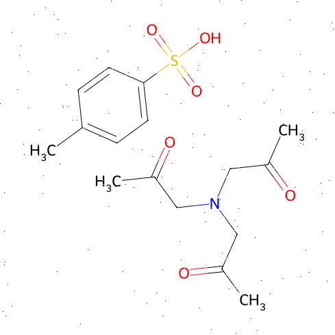 CC(=O)CN(CC(C)=O)CC(C)=O.Cc1ccc(S(=O)(=O)O)cc1